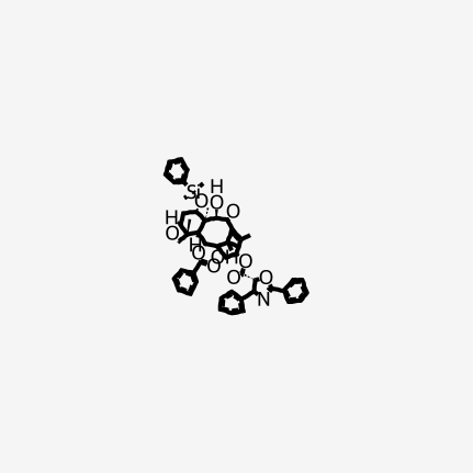 CC1=C2C(=O)[C@H](O)[C@]3(C)[C@@H](O[Si](C)(C)c4ccccc4)C[C@H]4OC[C@@]4(C)[C@H]3[C@H](OC(=O)c3ccccc3)[C@](O)(C[C@@H]1OC(=O)[C@@H]1OC(c3ccccc3)=NC1c1ccccc1)C2(C)C